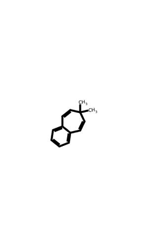 CC1(C)C=Cc2ccccc2C=C1